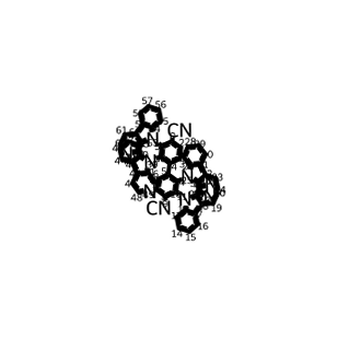 N#Cc1ccc(-c2ccc(C#N)c(-n3c4ccccc4c4ccncc43)c2-n2c3ccccc3c3ccncc32)c(-n2c3ccccc3c3ccncc32)c1-n1c2ccccc2c2ccncc21